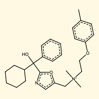 Cc1ccc(OCC[N+](C)(C)Cc2cnc(C(O)(c3ccccc3)C3CCCCC3)o2)cc1